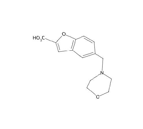 O=C(O)c1cc2cc(CN3CCOCC3)ccc2o1